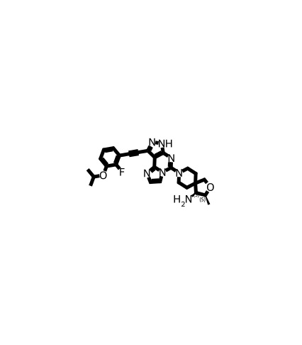 CC(C)Oc1cccc(C#Cc2n[nH]c3nc(N4CCC5(CC4)CO[C@@H](C)[C@H]5N)n4ccnc4c23)c1F